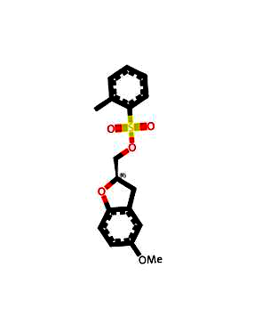 COc1ccc2c(c1)C[C@H](COS(=O)(=O)c1ccccc1C)O2